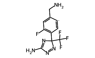 NCc1[c]cc(C2(C(F)(F)F)N=NC(N)=N2)c(F)c1